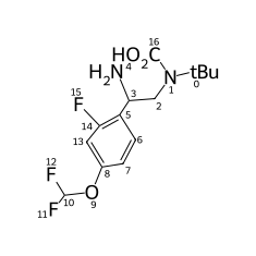 CC(C)(C)N(CC(N)c1ccc(OC(F)F)cc1F)C(=O)O